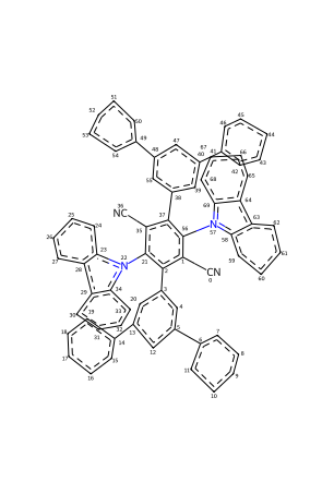 N#Cc1c(-c2cc(-c3ccccc3)cc(-c3ccccc3)c2)c(-n2c3ccccc3c3ccccc32)c(C#N)c(-c2cc(-c3ccccc3)cc(-c3ccccc3)c2)c1-n1c2ccccc2c2ccccc21